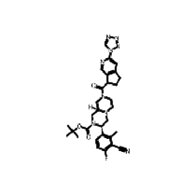 Cc1c([C@@H]2CN3CCN(C(=O)C4CCc5cc(-n6cnnn6)ncc54)C[C@H]3CN2C(=O)OC(C)(C)C)ccc(F)c1C#N